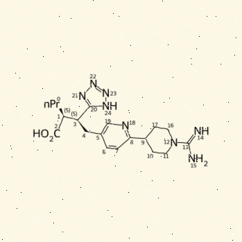 CCC[C@H](C(=O)O)[C@H](Cc1ccc(C2CCN(C(=N)N)CC2)nc1)c1nnn[nH]1